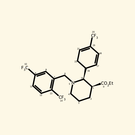 CCOC(=O)[C@H]1CCCN(Cc2cc(C(F)(F)F)ccc2C(F)(F)F)[C@H]1C1C=CC(C(F)(F)F)=CC1